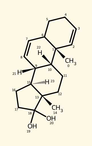 C[C@]12C=CCCC1C=C[C@@H]1[C@H]2CC[C@@]2(C)[C@H]1CCC2(O)O